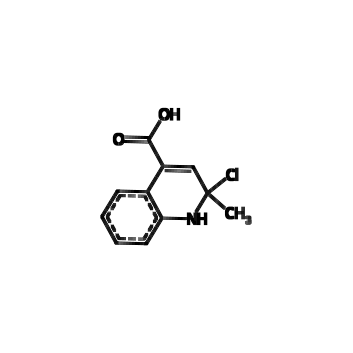 CC1(Cl)C=C(C(=O)O)c2ccccc2N1